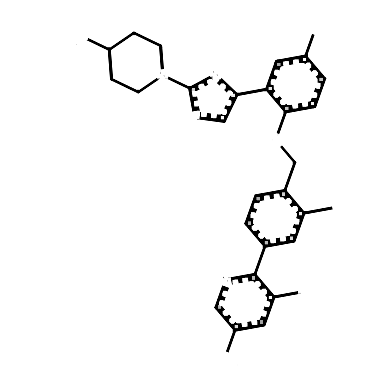 Cc1cc(-c2ncc(C(F)(F)F)cc2Cl)ccc1COc1ccc(C(F)(F)F)cc1-c1csc(N2CCC(C(=O)O)CC2)n1